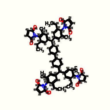 CCc1cc(C(c2ccc(-c3ccc(C(c4cc(C)c(N5C(=O)C=CC5=O)c(CC)c4)c4cc(C)c(N5C(=O)C=CC5=O)c(CC)c4)cc3)cc2)c2cc(C)c(N3C(=O)C=CC3=O)c(CC)c2)cc(C)c1N1C(=O)C=CC1=O